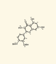 COc1ccc(-c2oc3cc(O)cc(O)c3c(=O)c2O)cc1OC